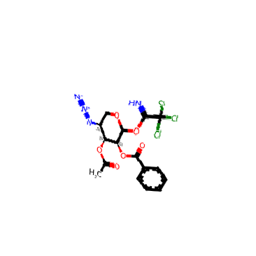 CC(=O)O[C@H]1[C@@H](N=[N+]=[N-])COC(OC(=N)C(Cl)(Cl)Cl)[C@H]1OC(=O)c1ccccc1